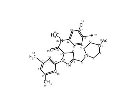 CC(=O)N1CCN(CC2=NN(c3cc(C(F)(F)F)cc(C)n3)C(C(=O)N(C)c3ccc(F)c(Cl)c3)C2)CC1